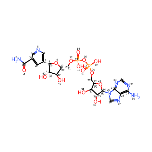 NC(=O)c1cncc([C@@H]2O[C@H](COP(=O)(O)OP(=O)(O)OC[C@H]3O[C@@H](n4cnc5c(N)ncnc54)[C@@H](O)C3O)C(O)[C@@H]2O)c1